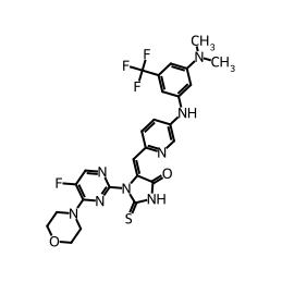 CN(C)c1cc(Nc2ccc(/C=C3\C(=O)NC(=S)N3c3ncc(F)c(N4CCOCC4)n3)nc2)cc(C(F)(F)F)c1